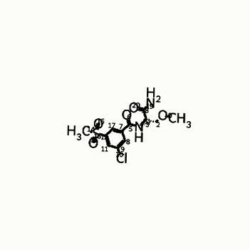 COC[C@H](NC(=O)c1cc(Cl)cc(S(C)(=O)=O)c1)C(N)=O